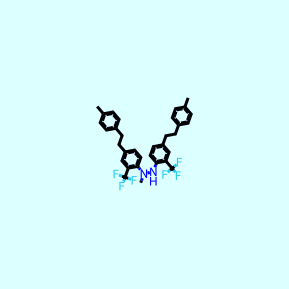 Cc1ccc(CCc2ccc(NN(C)c3ccc(CCc4ccc(C)cc4)cc3C(F)(F)F)c(C(F)(F)F)c2)cc1